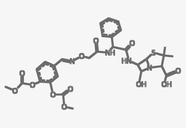 COC(=O)Oc1ccc(/C=N/OCC(=O)NC(C(=O)NC2C(O)N3C2SC(C)(C)C3C(=O)O)c2ccccc2)cc1OC(=O)OC